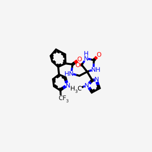 Cn1ccnc1C1(CNC(=O)c2ccccc2-c2ccc(C(F)(F)F)nc2)NC(=O)NC1=O